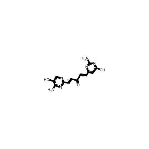 Nc1nc(O)cc(/C=C/C(=O)/C=C/c2ncc(O)c(N)n2)n1